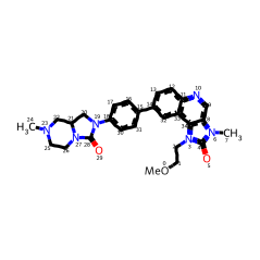 COCCn1c(=O)n(C)c2cnc3ccc(-c4ccc(N5CC6CN(C)CCN6C5=O)cc4)cc3c21